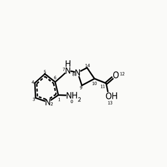 Nc1ncccc1NN1CC(C(=O)O)C1